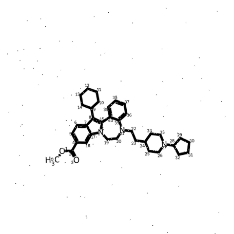 COC(=O)c1ccc2c(C3CCCCC3)c3n(c2c1)CCN(CCC1CCN(C2CCCC2)CC1)c1ccccc1-3